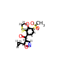 CS(=O)(=O)c1ccc(C(=O)c2cnoc2C2CC2)c2c1OCCS2